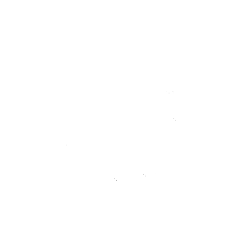 C/C=C\CCC(CCC)c1cc2cc(C(=O)N3CCN(Cc4ccc(C(F)(F)F)cc4)CC3)ccc2[nH]1